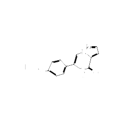 O=c1[nH]c(-c2ccc(OC(F)(F)F)cc2)cn2nccc12